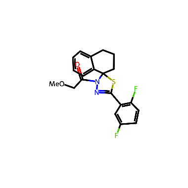 COCC(=O)N1N=C(c2cc(F)ccc2F)SC12CCCc1ccccc12